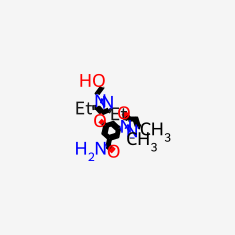 CCc1nn(CCO)c(CC)c1Oc1cc(C(N)=O)cc(-n2c(=O)cc(C)n2C)c1